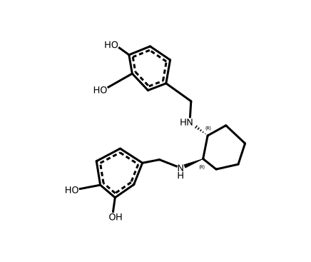 Oc1ccc(CN[C@@H]2CCCC[C@H]2NCc2ccc(O)c(O)c2)cc1O